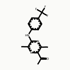 CC(=O)c1nc(C)c(Nc2ccc(C(F)(F)F)cc2)nc1C